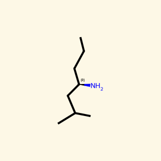 CCC[C@@H](N)CC(C)C